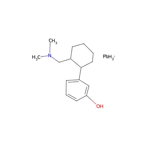 CN(C)CC1CCCCC1c1cccc(O)c1.[PbH2]